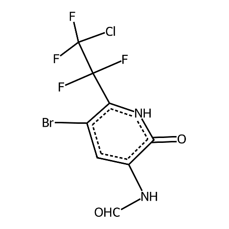 O=CNc1cc(Br)c(C(F)(F)C(F)(F)Cl)[nH]c1=O